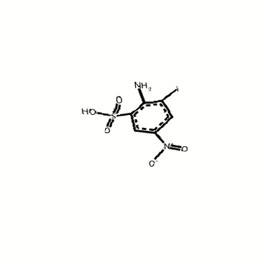 Nc1c(I)cc([N+](=O)[O-])cc1S(=O)(=O)O